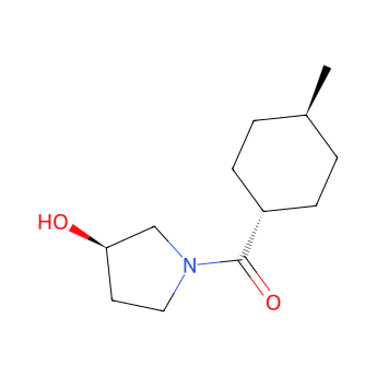 C[C@H]1CC[C@H](C(=O)N2CC[C@@H](O)C2)CC1